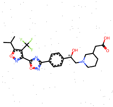 CC(C)c1onc(-c2nc(-c3ccc([C@@H](O)CN4CCCC(CC(=O)O)C4)cc3)no2)c1C(F)(F)F